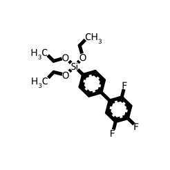 CCO[Si](OCC)(OCC)c1ccc(-c2cc(F)c(F)cc2F)cc1